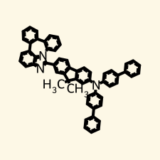 CC1(C)c2cc(-c3nc4cccc5c4n3-c3ccccc3-c3ccccc3-5)ccc2-c2ccc(N(c3ccc(-c4ccccc4)cc3)c3ccc(-c4ccccc4)cc3)cc21